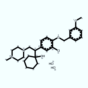 COc1cccc(COc2ccc(C(CN3CCN(C)CC3)C3(O)CCCCC3)cc2Cl)c1.Cl.Cl